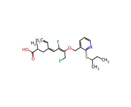 C=C/C(=C\C(F)=C(/CF)OCc1cccnc1SC(C)CC)CC(C)C(=O)O